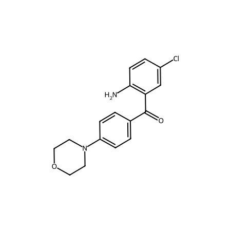 Nc1ccc(Cl)cc1C(=O)c1ccc(N2CCOCC2)cc1